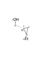 CCC1C[C@H]1CO